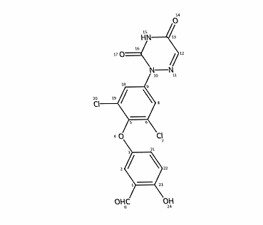 O=Cc1cc(Oc2c(Cl)cc(-n3ncc(=O)[nH]c3=O)cc2Cl)ccc1O